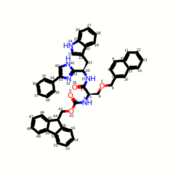 O=C(N[C@H](COCc1ccc2ccccc2c1)C(=O)N[C@H](Cc1c[nH]c2ccccc12)c1nc(-c2ccccc2)c[nH]1)OCC1c2ccccc2-c2ccccc21